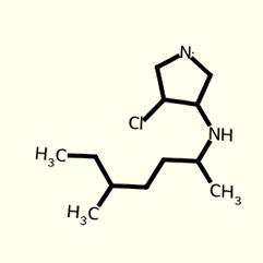 CCC(C)CCC(C)NC1C[N]CC1Cl